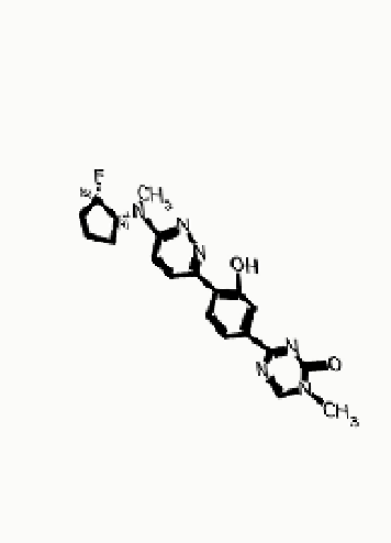 CN(c1ccc(-c2ccc(-c3ncn(C)c(=O)n3)cc2O)nn1)[C@@H]1CCC[C@@H]1F